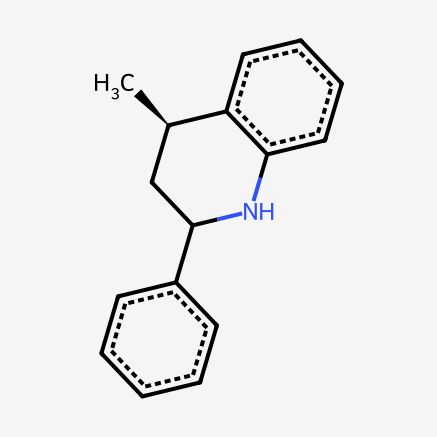 C[C@@H]1CC(c2ccccc2)Nc2ccccc21